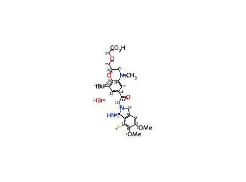 Br.COc1cc2c(c(F)c1OC)C(=N)N(CC(=O)c1cc3c(c(C(C)(C)C)c1)OC(COCC(=O)O)CN3C)C2